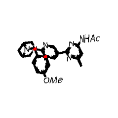 COc1ccc(CN2C3CC2CN(c2ccc(-c4nc(C)cc(NC(C)=O)n4)cn2)C3)cc1